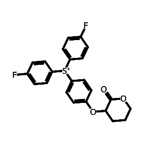 O=C1OCCCC1Oc1ccc([S+](c2ccc(F)cc2)c2ccc(F)cc2)cc1